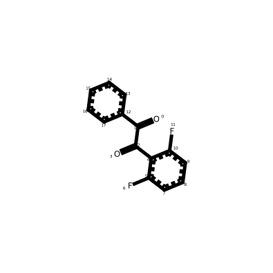 O=C(C(=O)c1c(F)cccc1F)c1ccccc1